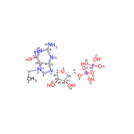 CC[n+]1cn([C@@H]2O[C@H](COP(=O)(O)OP(=O)(O)O)[C@@H](O)[C@H]2O)c2nc(N)[nH]c(=O)c21